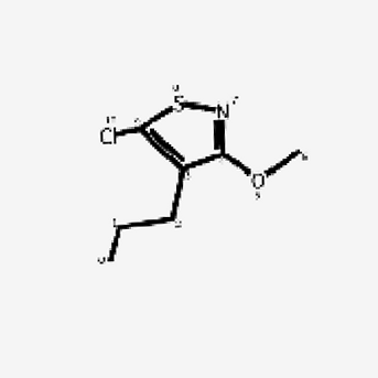 CCCc1c(OC)nsc1Cl